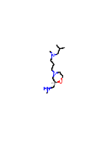 CNC[C@H]1CN(CCCN(C)CC(C)C)CCO1